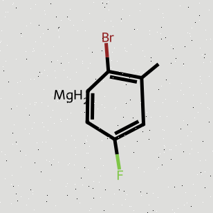 Cc1cc(F)ccc1Br.[MgH2]